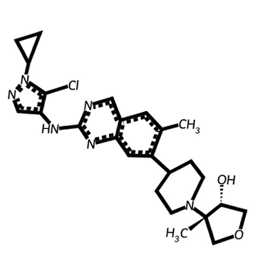 Cc1cc2cnc(Nc3cnn(C4CC4)c3Cl)nc2cc1C1CCN([C@@]2(C)COC[C@H]2O)CC1